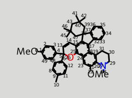 COc1ccc(C2(c3ccc(C)cc3)C=Cc3c4c(c5c6c(c(OC)cc5c3O2)N(C)CCC6)-c2ccccc2C42CC(C)(C)CC(C)(C)C2)cc1